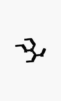 C=N/C(=C/C)N(/C=C\C)/N=C/C